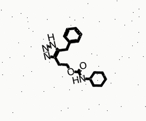 O=C(NC1CCCCC1)OCCc1nn[nH]c1Cc1ccccc1